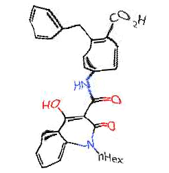 CCCCCCn1c(=O)c(C(=O)Nc2ccc(C(=O)O)c(Cc3ccccc3)c2)c(O)c2ccccc21